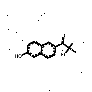 CCC(C)(CC)C(=O)c1ccc2cc(O)ccc2c1